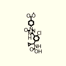 COC(=O)c1ccc(-n2nc(-c3cc(C(NC(=O)O)C4CC4)ccc3Cl)[nH]c2=O)cc1